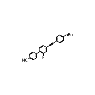 CCCCc1ccc(C#Cc2ccc(-c3ccc(C#N)cc3)c(F)c2)cc1